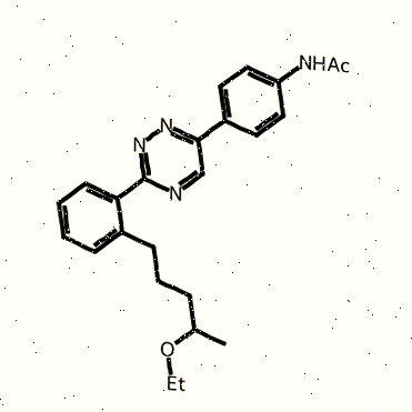 CCOC(C)CCCc1ccccc1-c1ncc(-c2ccc(NC(C)=O)cc2)nn1